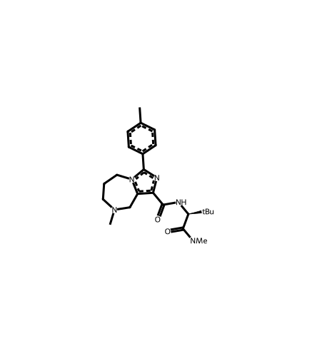 CNC(=O)[C@@H](NC(=O)c1nc(-c2ccc(C)cc2)n2c1CN(C)CCC2)C(C)(C)C